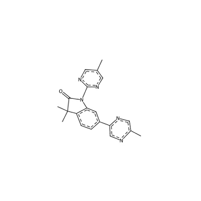 Cc1cnc(N2C(=O)C(C)(C)c3ccc(-c4cnc(C)cn4)cc32)nc1